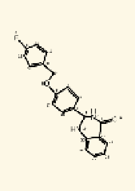 O=C1NC(c2ccc(OCc3ccc(F)cc3)cc2)Nc2ccccc21